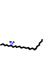 CCCCC/C=C\CC=CCCCCCCCC(CCCCC)N(C)C